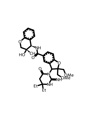 CCC1(CC)CC(=O)N(C2c3cc(C(=O)N[C@@H]4c5ccccc5OC[C@@]4(C)O)ccc3OC2(COC)COC)C(=N)N1